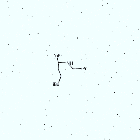 CCCC(CCC(C)CC)NCC(C)C